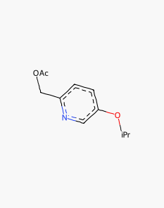 CC(=O)OCc1ccc(OC(C)C)cn1